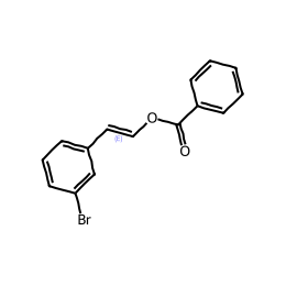 O=C(O/C=C/c1cccc(Br)c1)c1ccccc1